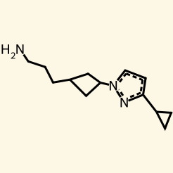 NCCCC1CC(n2ccc(C3CC3)n2)C1